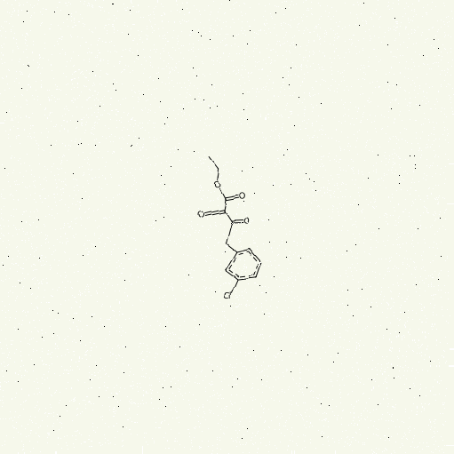 CCOC(=O)C(=O)C(=O)Cc1cccc(Cl)c1